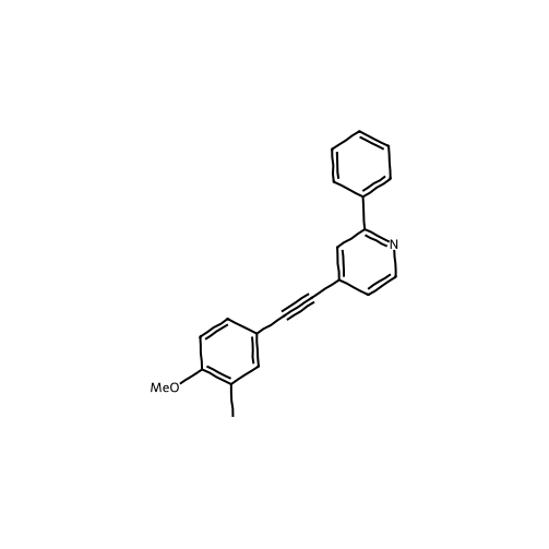 COc1ccc(C#Cc2ccnc(-c3ccccc3)c2)cc1C